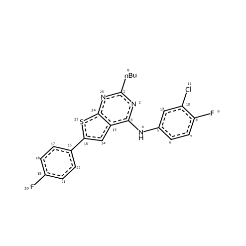 CCCCc1nc(Nc2ccc(F)c(Cl)c2)c2cc(-c3ccc(F)cc3)sc2n1